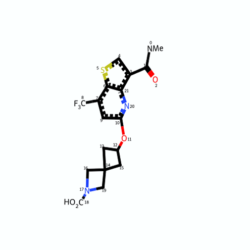 CNC(=O)c1csc2c(C(F)(F)F)cc(OC3CC4(C3)CN(C(=O)O)C4)nc12